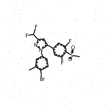 Cc1cc(-n2nc(C(F)F)cc2-c2cc(F)c(S(C)(=O)=O)c(F)c2)ccc1Br